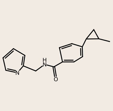 CC1CC1c1ccc(C(=O)NCc2ccccn2)cc1